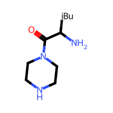 CCC(C)C(N)C(=O)N1CCNCC1